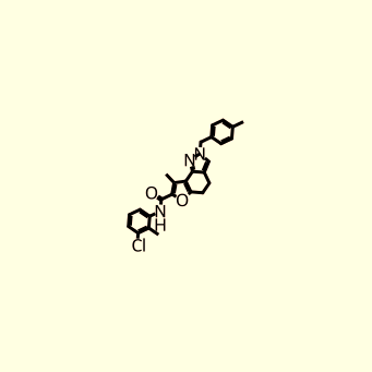 Cc1ccc(Cn2cc3c(n2)-c2c(oc(C(=O)Nc4cccc(Cl)c4C)c2C)CC3)cc1